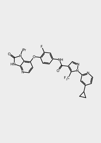 CC(C)n1c(=O)[nH]c2nccc(Oc3ccc(NC(=O)c4cnn(-c5cc(C6CC6)ccn5)c4C(F)(F)F)cc3F)c21